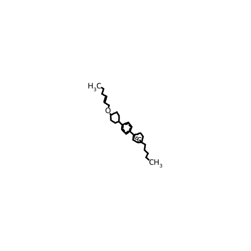 CCCC=CCOC1CCC(c2ccc(C34CCC(CCCCC)(CC3)CC4)cc2)CC1